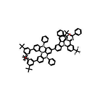 CC(C)(C)c1cc(-c2ccc3c(c2)B2c4cc(-c5cc(C(C)(C)C)cc(C(C)(C)C)c5)ccc4N(c4ccccc4)c4cc(-c5ccc6c(c5)c5ccc(C(C)(C)C)cc5n6-c5ccc(C(F)(F)F)cc5-c5nc(-c6ccccc6)nc(-c6ccccc6)n5)cc(c42)N3c2ccccc2)cc(C(C)(C)C)c1